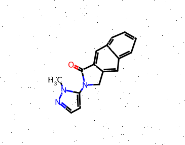 Cn1nccc1N1Cc2cc3ccccc3cc2C1=O